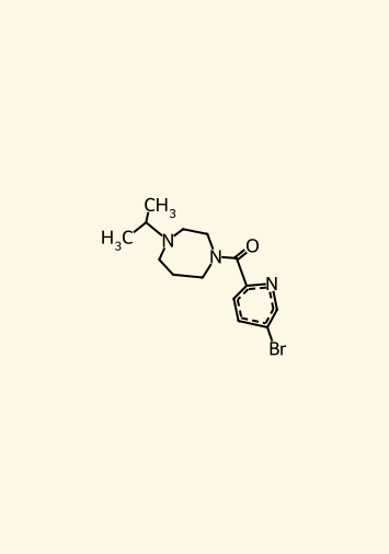 CC(C)N1CCCN(C(=O)c2ccc(Br)cn2)CC1